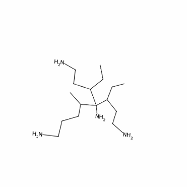 CCC(CCN)C(N)(C(C)CCCN)C(CC)CCN